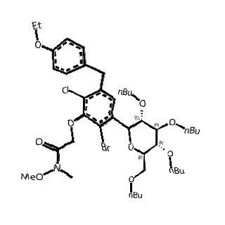 CCCCOC[C@H]1OC(c2cc(Cc3ccc(OCC)cc3)c(Cl)c(OCC(=O)N(C)OC)c2Br)[C@H](OCCCC)[C@@H](OCCCC)[C@@H]1OCCCC